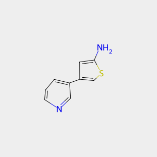 Nc1cc(-c2cccnc2)cs1